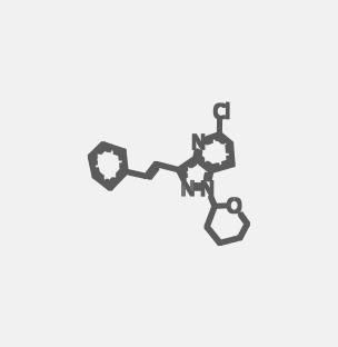 Clc1ccc2c(n1)c(/C=C/c1ccccc1)nn2C1CCCCO1